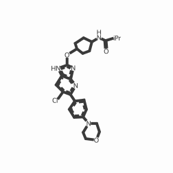 CC(C)C(=O)NC1CCC(Oc2nc3nc(-c4ccc(N5CCOCC5)cc4)c(Cl)cc3[nH]2)CC1